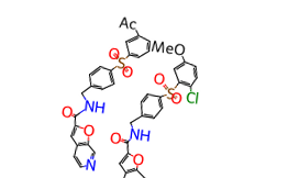 CC(=O)c1cccc(S(=O)(=O)c2ccc(CNC(=O)c3cc4ccncc4o3)cc2)c1.COc1ccc(Cl)c(S(=O)(=O)c2ccc(CNC(=O)c3cc4ccncc4o3)cc2)c1